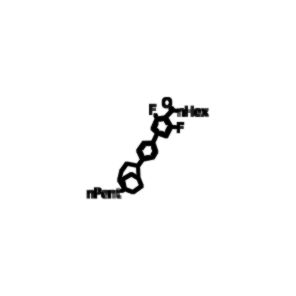 CCCCCCC(=O)c1c(F)cc(-c2ccc(C3CCCC4(CCCCC)CCC3CC4)cc2)cc1F